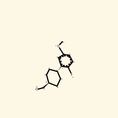 COc1ccc(F)c([C@H]2CC[C@H](CCl)CC2)c1